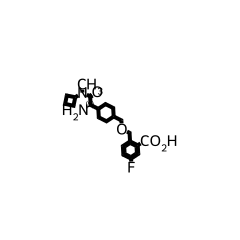 CN(C(=O)[C@@H](N)C1CCC(COCc2ccc(F)cc2C(=O)O)CC1)C1CCC1